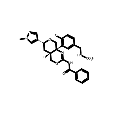 Cn1cc([C@H]2C[C@H]3CSC(NC(=O)c4ccccc4)=N[C@@]3(c3cc(CNC(=O)O)ccc3F)CO2)cn1